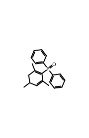 CC1=CC(C)[CH]C(C)=C1P(=O)(c1ccccc1)c1ccccc1